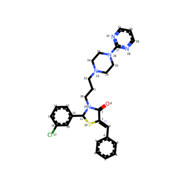 O=C1/C(=C/c2ccccc2)SC(c2cccc(Cl)c2)N1CCCN1CCN(c2ncccn2)CC1